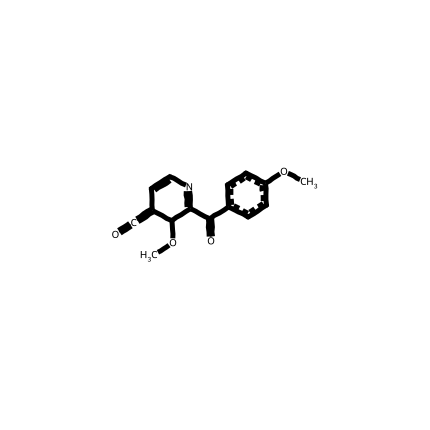 COc1ccc(C(=O)C2=NC=CC(=C=O)C2OC)cc1